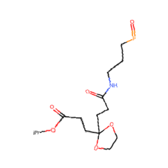 CC(C)OC(=O)CCC1(CCC(=O)NCCCP=O)OCCO1